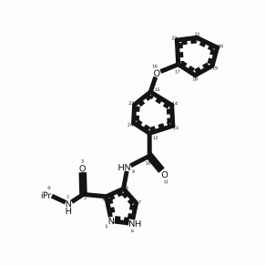 CC(C)NC(=O)c1n[nH]cc1NC(=O)c1ccc(Oc2ccccc2)cc1